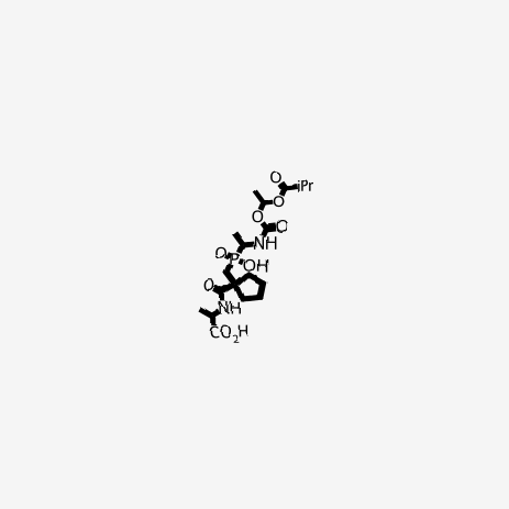 CC(OC(=O)NC(C)P(=O)(O)CC1(C(=O)NC(C)C(=O)O)CCCC1)OC(=O)C(C)C